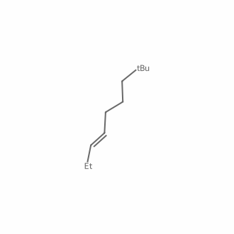 [CH2]C/C=C/CCCC(C)(C)C